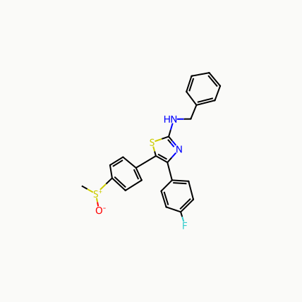 C[S+]([O-])c1ccc(-c2sc(NCc3ccccc3)nc2-c2ccc(F)cc2)cc1